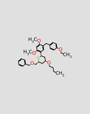 CCCCO[C@H]1C[C@@H](COCc2ccccc2)S[C@@H](c2cc(Cc3ccc(OCC)cc3)c(OC)cc2OC)C1